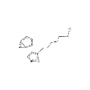 CCCCCCl.Cc1ccno1.c1cc2cc-2c1